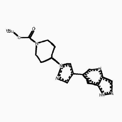 CC(C)(C)OC(=O)N1CCC(n2cc(-c3cnc4cn[nH]c4c3)cn2)CC1